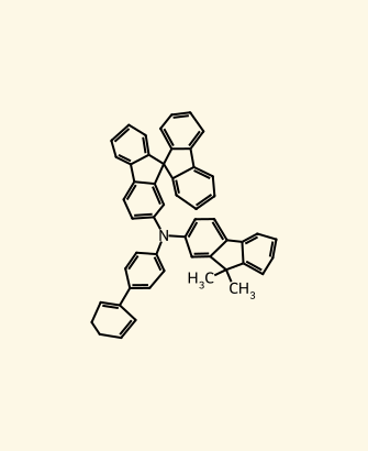 CC1(C)c2ccccc2-c2ccc(N(c3ccc(C4=CCCC=C4)cc3)c3ccc4c(c3)C3(c5ccccc5-c5ccccc53)c3ccccc3-4)cc21